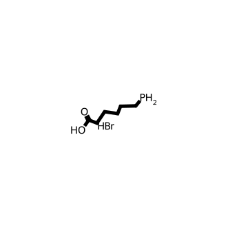 Br.O=C(O)CCCCCP